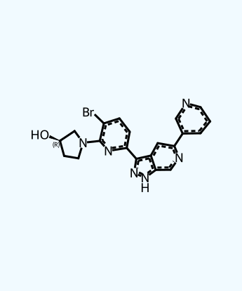 O[C@@H]1CCN(c2nc(-c3n[nH]c4cnc(-c5cccnc5)cc34)ccc2Br)C1